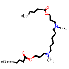 CCCCCCCCCCCCCC(=O)OCCCN(C)CCCCCCN(C)CCCOC(=O)CCCCCCCCCCCCC